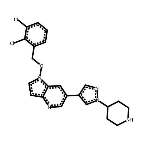 Clc1cccc(COn2ccc3ncc(-c4cnn(C5CCNCC5)c4)cc32)c1Cl